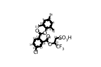 O=C(Oc1c(I)cc(I)cc1I)c1ccc(Cl)cc1C(=O)OC(CS(=O)(=O)O)C(F)(F)F